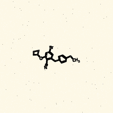 CCc1ccc(Cc2cc(Br)cc(OC3CCC3)c2C#N)cc1